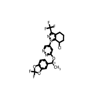 C[C@H](Oc1cc(-n2nc(C(F)(F)F)c3c2C(Cl)CCC3)cnn1)c1ccc2c(c1)OC(F)(F)O2